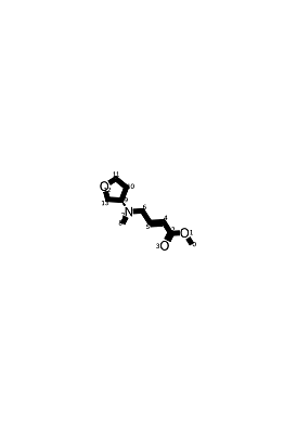 COC(=O)/C=C/CN(C)[C@H]1CCOC1